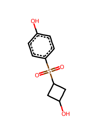 O=S(=O)(c1ccc(O)cc1)C1CC(O)C1